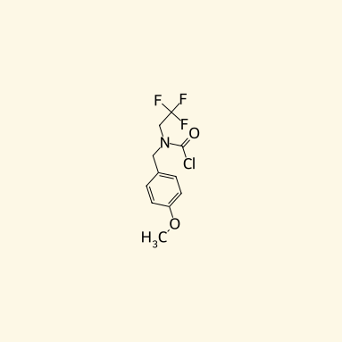 COc1ccc(CN(CC(F)(F)F)C(=O)Cl)cc1